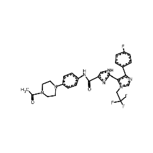 CC(=O)N1CCN(c2ccc(NC(=O)c3c[nH]c(-c4c(-c5ccc(F)cc5)ncn4CC(F)(F)F)n3)cc2)CC1